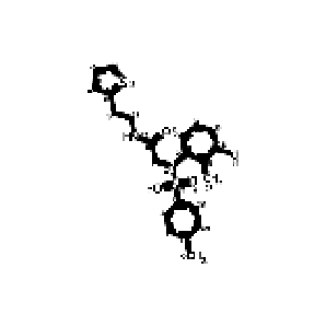 Cc1ccc(S(=O)(=O)N(CC(=O)NCCc2cccs2)c2cccc(Cl)c2C)cc1